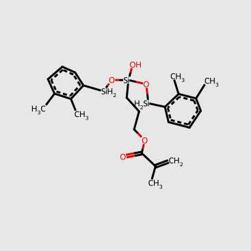 C=C(C)C(=O)OCCC[Si](O)(O[SiH2]c1cccc(C)c1C)O[SiH2]c1cccc(C)c1C